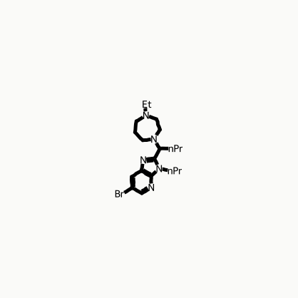 CCCC(c1nc2cc(Br)cnc2n1CCC)N1CCCN(CC)CC1